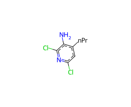 CCCc1cc(Cl)nc(Cl)c1N